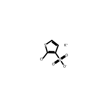 O=S(=O)([O-])c1ccsc1Cl.[K+]